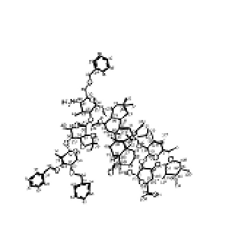 CCC1O[C@@H](OC2[C@H](O[C@H]3CCC4(C)C5CC=C6C7CC(C)(C)CC[C@]7(CS[C@@H]7OC(COCc8ccccc8)[C@H](N)C(C)C7O[C@@H]7OC(C)[C@H](O[C@@H]8OC[C@@H](OCc9ccccc9)C(OCc9ccccc9)C8C)C8OC(C)(C)OC87)C(OC)C[C@@]6(C)[C@@]5(C)CC[C@H]4[C@@]3(C)C=O)OC(C(C)=O)[C@@H](C)[C@@H]2O[C@@H]2OC[C@@H](C)[C@@H](C)C2C)C(O[Si](CC)(CC)CC)[C@@H](C)[C@@H]1C